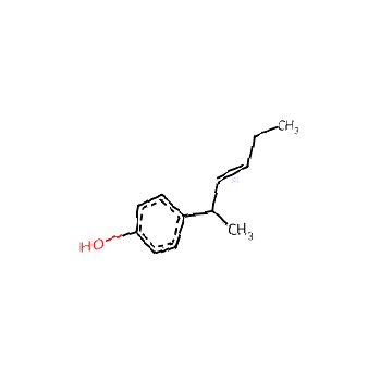 CC/C=C/C(C)c1ccc(O)cc1